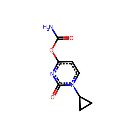 NC(=O)Oc1ccn(C2CC2)c(=O)n1